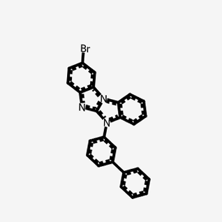 Brc1ccc2nc3n(-c4cccc(-c5ccccc5)c4)c4ccccc4n3c2c1